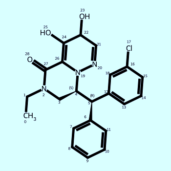 CCN1C[C@H]([C@H](c2ccccc2)c2cccc(Cl)c2)N2N=CC(O)C(O)=C2C1=O